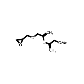 C=C(COC)OC(=C)COCC1CO1